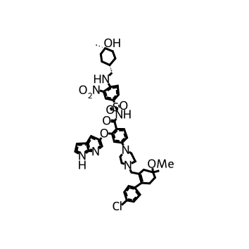 COC1(C)CCC(c2ccc(Cl)cc2)=C(CN2CCN(c3ccc(C(=O)NS(=O)(=O)c4ccc(NC[C@H]5CC[C@](C)(O)CC5)c([N+](=O)[O-])c4)c(Oc4cnc5[nH]ccc5c4)c3)CC2)C1